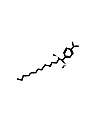 CCCCCCCCCCCCC(OC)C(OC)c1ccc(C(C)C)cc1